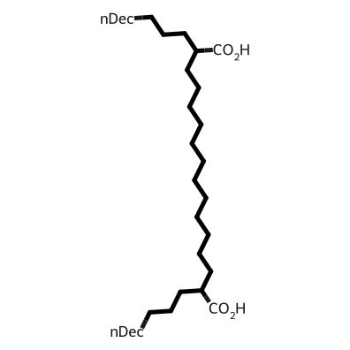 CCCCCCCCCCCCCC(CCCCCCCCCCCCC(CCCCCCCCCCCCC)C(=O)O)C(=O)O